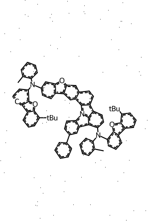 Cc1ccccc1N(c1ccc2c(c1)oc1cc3ccc4c5ccc(N(c6ccccc6C)c6cccc7c6oc6c(C(C)(C)C)cccc67)c6c7cc(-c8ccccc8)ccc7n(c4c3cc12)c56)c1cccc2c1oc1c(C(C)(C)C)cccc12